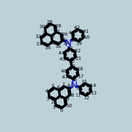 C1=CC2=CC=CC3=CC(N(c4ccccc4)c4ccc(-c5ccc(N(C6=CC7=CC=CC8=CC=CC(=C6)C87)c6ccccc6)cc5)cc4)=CC(=C1)C23